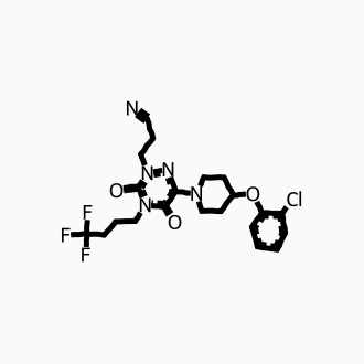 N#CCCn1nc(N2CCC(Oc3ccccc3Cl)CC2)c(=O)n(CCCC(F)(F)F)c1=O